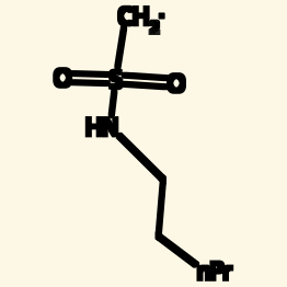 [CH2]S(=O)(=O)NCCCCC